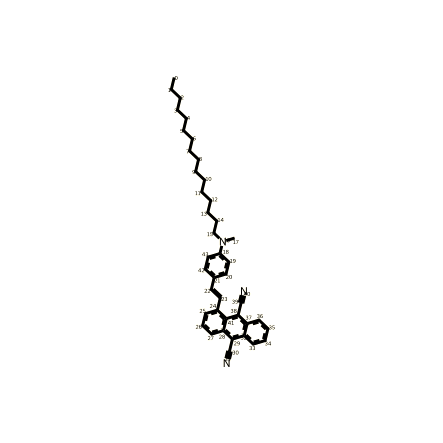 CCCCCCCCCCCCCCCCN(C)c1ccc(C=Cc2cccc3c(C#N)c4ccccc4c(C#N)c23)cc1